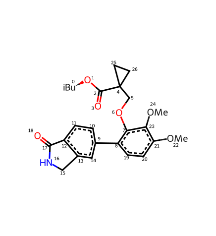 CC[C@H](C)OC(=O)C1(COc2c(-c3ccc4c(c3)CNC4=O)ccc(OC)c2OC)CC1